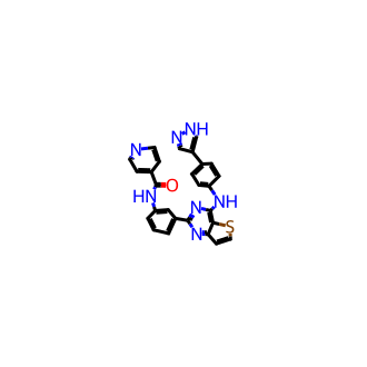 O=C(Nc1cccc(-c2nc(Nc3ccc(-c4cn[nH]c4)cc3)c3sccc3n2)c1)c1ccncc1